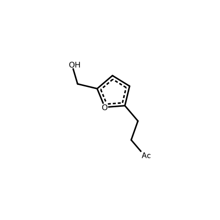 CC(=O)CCc1ccc(CO)o1